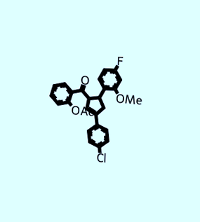 COc1cc(F)ccc1C1CC(c2ccc(Cl)cc2)=CC1C(=O)c1ccccc1OC(C)=O